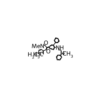 C=C(F)/C=C\C(=C/C)c1oc2cc(NCCN(C)c3ccccc3)c(-c3ccccc3)cc2c1C(=O)NC